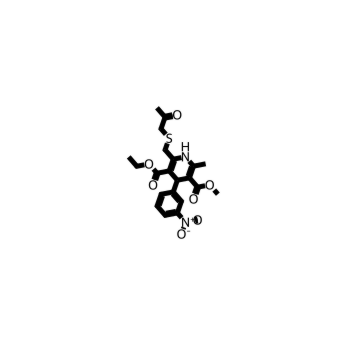 CCOC(=O)C1=C(CSCC(C)=O)NC(C)=C(C(=O)OC)C1c1cccc([N+](=O)[O-])c1